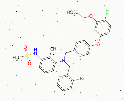 Cc1c(NS(C)(=O)=O)cccc1N(Cc1ccc(Oc2ccc(Cl)c(OCC(=O)O)c2)cc1)Cc1ccccc1Br